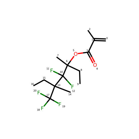 C=C(C)C(=O)OC(C)(CC)C(F)(F)C(C)(CC)C(F)(F)F